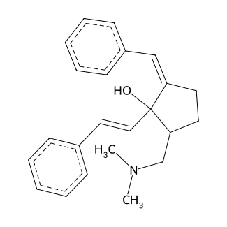 CN(C)CC1CCC(=Cc2ccccc2)C1(O)C=Cc1ccccc1